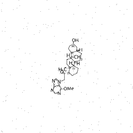 COc1ncnc2ncn(CC(=O)[C@H]3CCC[C@H]4[C@@H]5CC[C@H]6C[C@H](O)CC[C@]6(C)[C@H]5CC[C@]34C)c12